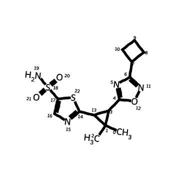 CC1(C)C(c2nc(C3CCC3)no2)C1c1ncc(S(N)(=O)=O)s1